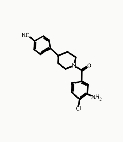 N#Cc1ccc(C2CCN(C(=O)c3ccc(Cl)c(N)c3)CC2)cc1